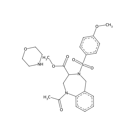 C1COCCN1.COC(=O)C1CN(C(C)=O)c2ccccc2CN1S(=O)(=O)c1ccc(OC)cc1